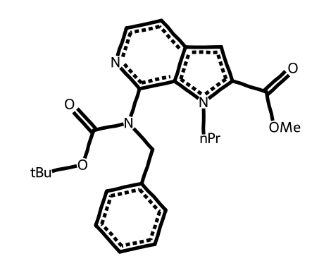 CCCn1c(C(=O)OC)cc2ccnc(N(Cc3ccccc3)C(=O)OC(C)(C)C)c21